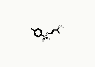 CC(=O)OC(C)C=COS(=O)(=O)c1ccc(C)cc1